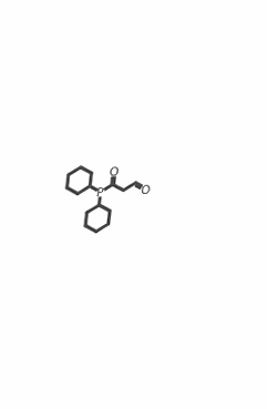 O=CCC(=O)P(C1CCCCC1)C1CCCCC1